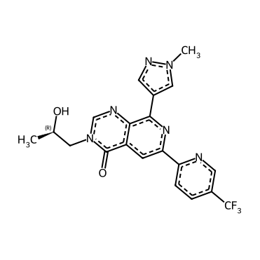 C[C@@H](O)Cn1cnc2c(-c3cnn(C)c3)nc(-c3ccc(C(F)(F)F)cn3)cc2c1=O